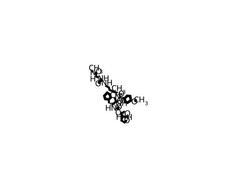 CNC(=O)CNC(=O)NCCCC(C)(C)CN(C[C@H](O)[C@H](Cc1ccccc1)NC(=O)O[C@@H]1CO[C@@H]2OCC[C@@H]21)S(=O)(=O)c1ccc(OC)cc1